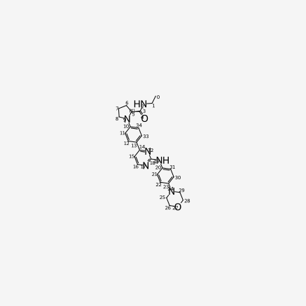 CCNC(=O)[C@@H]1CCCN1c1ccc(-c2ccnc(Nc3ccc(N4CCOCC4)cc3)n2)cc1